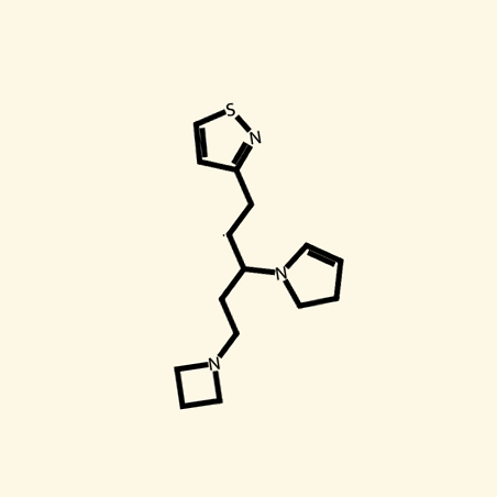 [CH](Cc1ccsn1)C(CCN1CCC1)N1C=CCC1